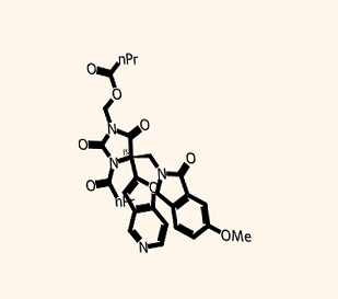 CCCC(=O)OCN1C(=O)N(C(=O)CCC)[C@@](CN2Cc3ccc(OC)cc3C2=O)(c2cc3cnccc3o2)C1=O